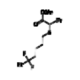 CCC(F)(F)CCCCSC(C(=O)OC)C(C)C